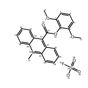 COc1cccc(OC)c1OC(=O)c1c2ccccc2[n+](C)c2ccccc12.O=S(=O)([O-])F